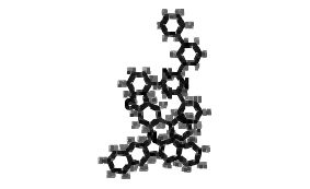 c1ccc(-c2cccc(-c3nc(-c4ccccc4)nc(-c4cccc5oc6cc(-n7c8cc9ccccc9cc8c8cc9ccccc9cc87)c(-c7ccccc7)cc6c45)n3)c2)cc1